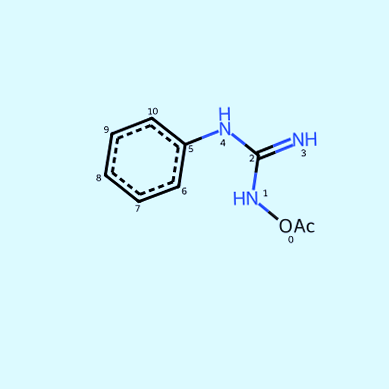 CC(=O)ONC(=N)Nc1ccccc1